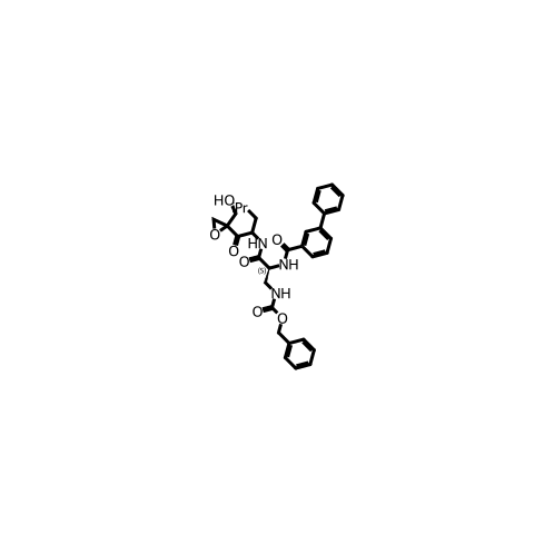 CC(C)CC(NC(=O)[C@H](CNC(=O)OCc1ccccc1)NC(=O)c1cccc(-c2ccccc2)c1)C(=O)C1(CO)CO1